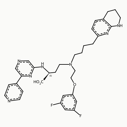 O=C(O)[C@H](CCN(CCCCc1ccc2c(n1)NCCC2)CCOc1cc(F)cc(F)c1)Nc1cncc(-c2ccncc2)n1